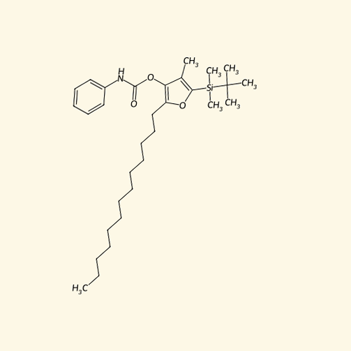 CCCCCCCCCCCCCc1oc([Si](C)(C)C(C)(C)C)c(C)c1OC(=O)Nc1ccccc1